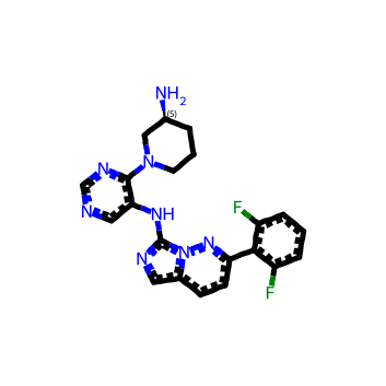 N[C@H]1CCCN(c2ncncc2Nc2ncc3ccc(-c4c(F)cccc4F)nn23)C1